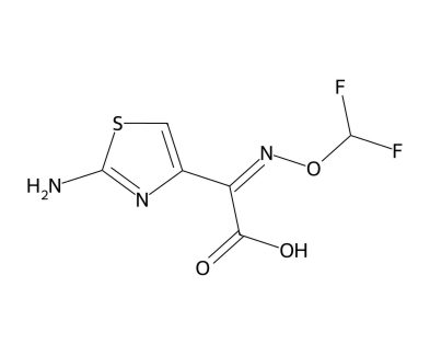 Nc1nc(/C(=N/OC(F)F)C(=O)O)cs1